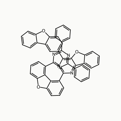 c1ccc(-c2nc(-c3ccccc3)nc(-c3cccc4oc5cccc(-c6nc(-c7ccc8oc9ccccc9c8c7)c7oc8ccccc8c7n6)c5c34)n2)cc1